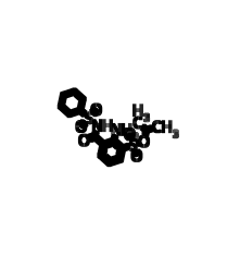 CC(C)OS(=O)(=O)c1cccc(C(=O)NS(=O)(=O)C2CCCCC2)c1N